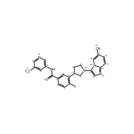 Cc1ccc(C(=O)Nc2cncc(C(F)(F)F)c2)cc1C1CCN(c2cnc3ccc(C#N)cn23)C1